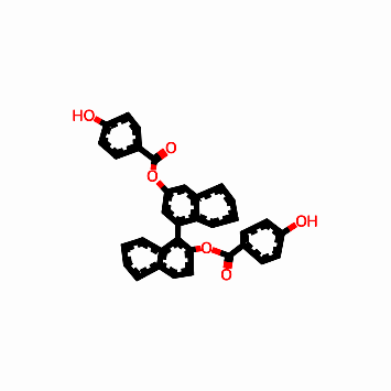 O=C(Oc1cc(-c2c(OC(=O)c3ccc(O)cc3)ccc3ccccc23)c2ccccc2c1)c1ccc(O)cc1